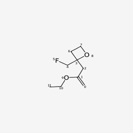 C=C(CC1(CF)CCO1)OCC